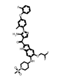 Cc1cc(Oc2ccccc2F)ccc1-n1ncc(C(=O)c2cc3cc(OCC(F)F)c(NC4CCN(S(C)(=O)=O)CC4)cc3[nH]2)c1N